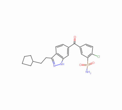 NS(=O)(=O)c1cc(C(=O)c2ccc3c(CCC4CCCC4)n[nH]c3c2)ccc1Cl